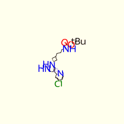 CC(C)(C)OC(=O)NCCCC1CC(N/C=C(\C=N)c2cc(Cl)ccn2)C1